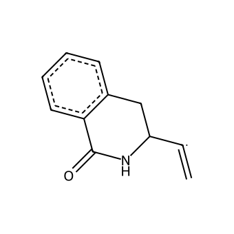 C=[C]C1Cc2ccccc2C(=O)N1